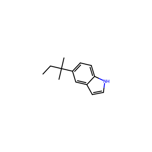 CCC(C)(C)c1ccc2[nH]ccc2c1